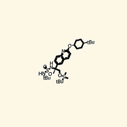 CC(C)(C)NS(=O)(=O)N[C@@](C)(CO[Si](C)(C)C(C)(C)C)c1ccc2nc(O[C@H]3CC[C@H](C(C)(C)C)CC3)ccc2c1